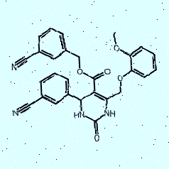 COc1ccccc1OCC1=C(C(=O)OCc2cccc(C#N)c2)C(c2cccc(C#N)c2)NC(=O)N1